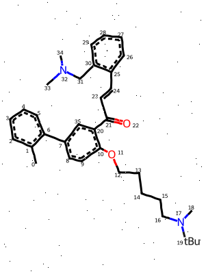 Cc1ccccc1-c1ccc(OCCCCCN(C)C(C)(C)C)c(C(=O)C=Cc2ccccc2CN(C)C)c1